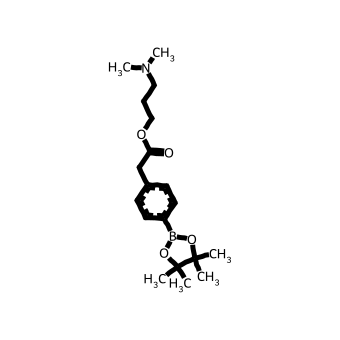 CN(C)CCCOC(=O)Cc1ccc(B2OC(C)(C)C(C)(C)O2)cc1